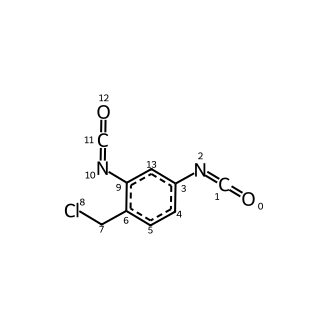 O=C=Nc1ccc(CCl)c(N=C=O)c1